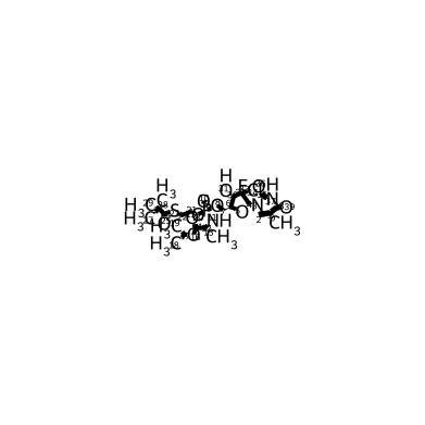 Cc1cn([C@@H]2O[C@H](CO[P@@](=O)(N[C@H](C)C(=O)OC(C)C)OCCSC(=O)C(C)(C)C)[C@@H](O)[C@]2(F)Cl)c(=O)[nH]c1=O